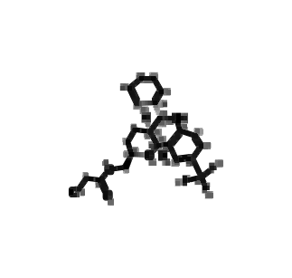 O=C(CCl)OC[C@H]1CC[C@@H]2[C@H](O1)c1cc(C(F)(F)F)ccc1N[C@H]2c1ccccc1